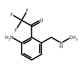 CNCc1cccc(N)c1C(=O)C(F)(F)F